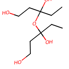 CCC(O)(CCO)OC(O)(CC)CCO